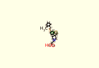 Cc1ccccc1CSc1ccc2c(c1)OCC21CCN(CCC(=O)O)CC1.Cl